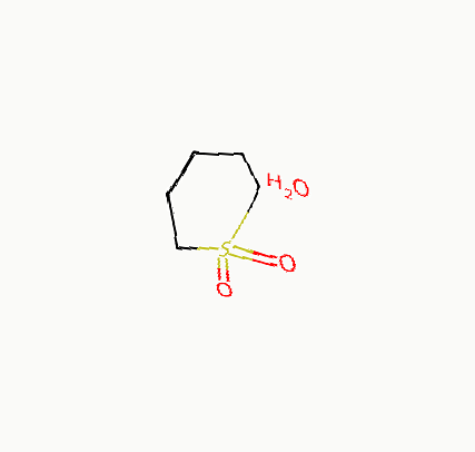 O.O=S1(=O)CCCCC1